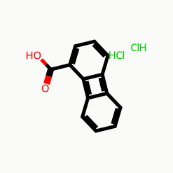 Cl.Cl.O=C(O)c1cccc2c1=c1ccccc1=2